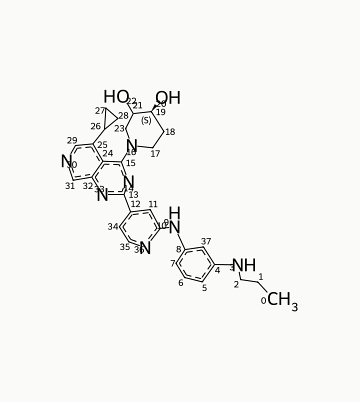 CCCNc1cccc(Nc2cc(-c3nc(N4CC[C@H](O)C(O)C4)c4c(C5CC5)cncc4n3)ccn2)c1